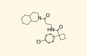 O=C(CCNC(=O)C1(c2ccc(Cl)cc2)CCC1)N1CCC2CCCCC2C1